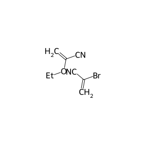 C=C(Br)C#N.C=C(C#N)OCC